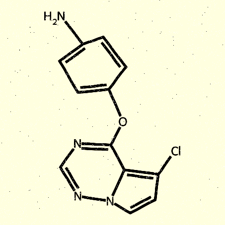 Nc1ccc(Oc2ncnn3ccc(Cl)c23)cc1